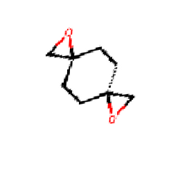 C1C[C@]2(CC[C@]13CO3)CO2